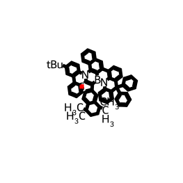 CC(C)(C)c1ccc(N2c3sc4cc5c(cc4c3B3c4c(cc6ccccc6c42)-c2cccc4c2N3c2ccccc2C4(c2ccccc2)c2ccccc2)C(C)(C)CCC5(C)C)c(-c2ccccc2)c1